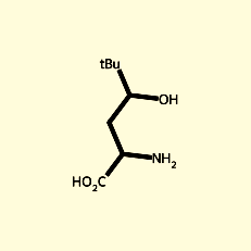 CC(C)(C)C(O)CC(N)C(=O)O